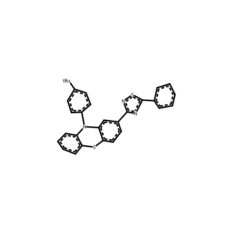 CC(C)(C)c1ccc(N2c3ccccc3Sc3ccc(-c4nsc(-c5ccccc5)n4)cc32)cc1